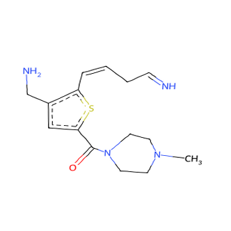 CN1CCN(C(=O)c2cc(CN)c(/C=C\CC=N)s2)CC1